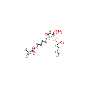 CCCCC[C@H](O)CC[C@H]1[C@H](O)CC(=O)[C@@H]1CCC/C=C/C=C/OC(=O)C(C)C